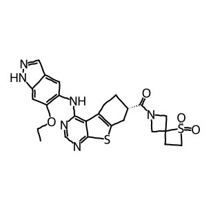 CCOc1cc2[nH]ncc2cc1Nc1ncnc2sc3c(c12)CC[C@H](C(=O)N1CC2(CCS2(=O)=O)C1)C3